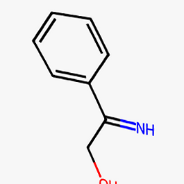 N=C(CO)c1ccccc1